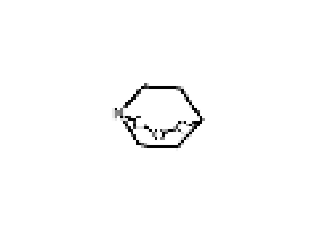 C1CN2CCC1COC2